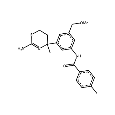 COCc1cc(NC(=O)c2ccc(C)cc2)cc(C2(C)CCSC(N)=N2)c1